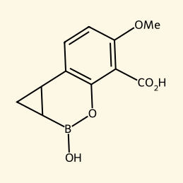 COc1ccc2c(c1C(=O)O)OB(O)C1CC21